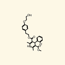 COC(=O)C1=C(C)NC(C)=C(C(=O)OCCc2ccc(OCCO)cc2)C1c1ccccc1Cl